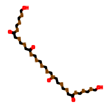 O=C(CSCSCC[S+]([O-])CSCSCSCSC(=O)CSCSCC(=O)SCSCSCO)SCSCSCO